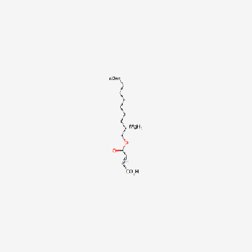 CCCCCCCCCCCCCCCCCCOC(=O)/C=C/C(=O)O.[MgH2]